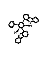 N#Cc1c(-c2ccccc2)cc(-c2cccc3c2oc2ccccc23)c(C#N)c1-c1cccc2c1oc1ccccc12